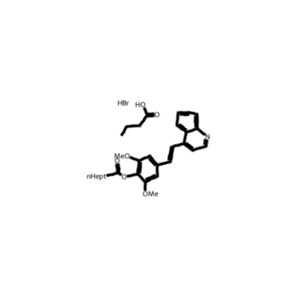 Br.CCCC(=O)O.CCCCCCCC(=O)Oc1c(OC)cc(C=Cc2ccnc3ccccc23)cc1OC